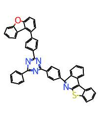 c1ccc(-c2nc(-c3ccc(-c4nc5sc6ccccc6c5c5ccccc45)cc3)nc(-c3ccc(-c4cccc5oc6ccccc6c45)cc3)n2)cc1